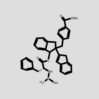 COC(=O)c1ccc(CC2(C3=Cc4ccccc4C3)Cc3ccccc3C2OC(=O)[C@@H](Cc2ccccc2)NB(C)O)cc1